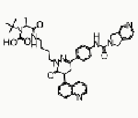 C[C@@H](C(=O)NCCCCN1N=C(c2ccc(NC(=O)N3Cc4ccncc4C3)cc2)CC(c2cccc3ncccc23)C1=O)N(C(=O)O)C(C)(C)C